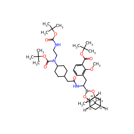 COc1c(CC(NC(=O)CC2CCC(N(CCNC(=O)OC(C)(C)C)C(=O)OC(C)(C)C)CC2)B2O[C@@H]3C[C@@H]4C[C@@H](C4(C)C)[C@]3(C)O2)cccc1C(=O)OC(C)(C)C